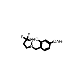 COc1ccc(CN2CCC(F)(F)S2)c(OC)c1